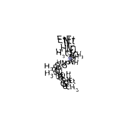 CCN[C@H]1C[C@H](C)S(=O)(=O)c2sc(S(=O)(=O)NC(=O)[C@H](C)OC(=O)[C@H](C)OC(=O)CCC(=O)Nc3ccc4c(c3)/C(=C/c3[nH]c(C)c(C(=O)NCCN(CC)CC)c3C)C(=O)N4)cc21